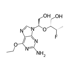 CCOc1nc(N)nc2c1ncn2[C@@H](CO)O[C@H](CO)[C@H](C)F